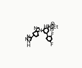 CCS(=O)(=O)Nc1cc(-c2ccc(F)cc2F)cc(-n2cnc3cc(-c4c[nH]nn4)ccc32)c1